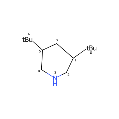 CC(C)(C)C1CNCC(C(C)(C)C)C1